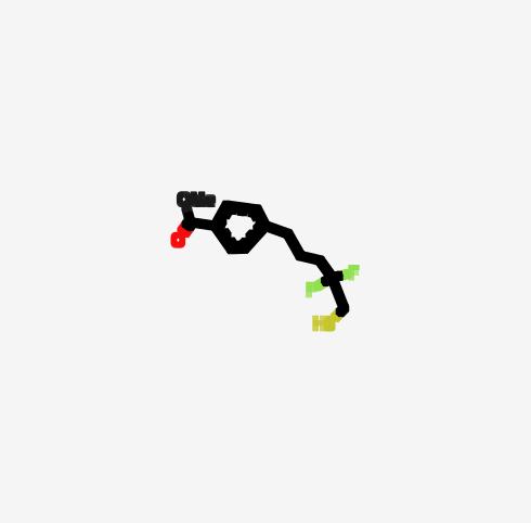 COC(=O)c1ccc(CCCC(F)(F)CS)cc1